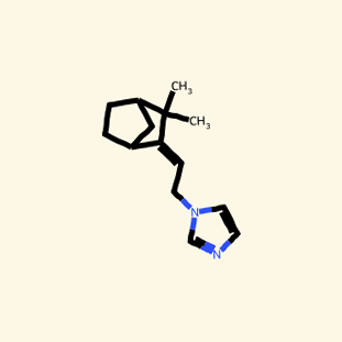 CC1(C)C(=CCn2ccnc2)C2CCC1C2